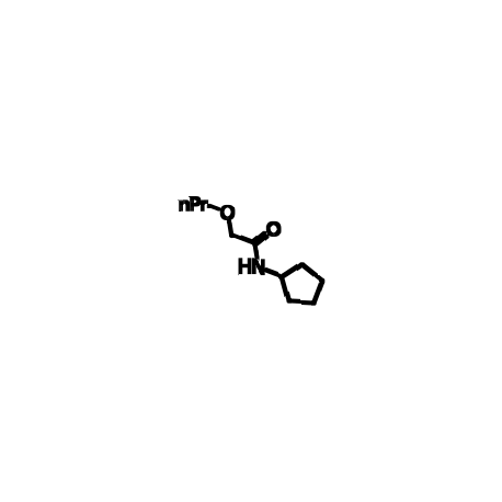 [CH2]CCOCC(=O)NC1CCCC1